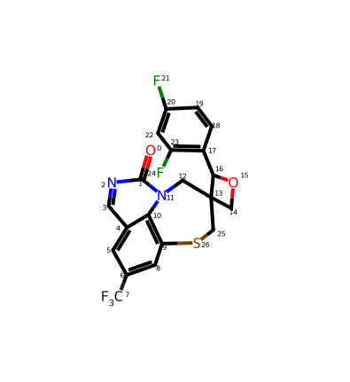 O=c1ncc2cc(C(F)(F)F)cc3c2n1CC1(COC1c1ccc(F)cc1F)CS3